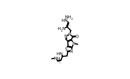 CN/C=C\C(=N)Cc1nc2c(s1)c1cnn(C/C(N)=C/NN)c(=O)c1n2C